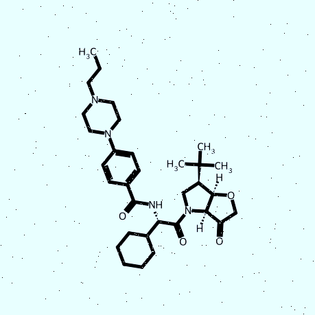 CCCN1CCN(c2ccc(C(=O)N[C@H](C(=O)N3C[C@@H](C(C)(C)C)[C@H]4OCC(=O)[C@H]43)C3CCCCC3)cc2)CC1